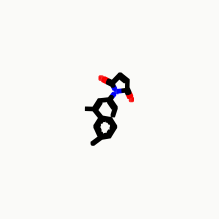 C/C=C(\C=C(\C)c1cccc(C)c1)N1C(=O)C=CC1=O